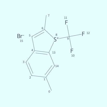 Cc1ccc2cc(C)[s+](C(F)(F)F)c2c1.[Br-]